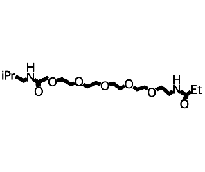 CCC(=O)NCCOCCOCCOCCOCCOCC(=O)NCC(C)C